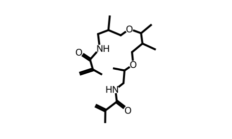 C=C(C)C(=O)NCC(C)COC(C)C(C)COC(C)CNC(=O)C(=C)C